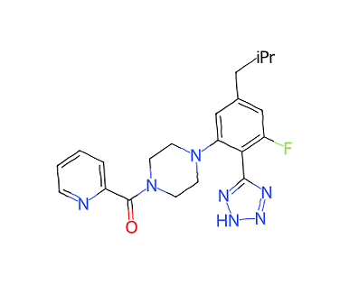 CC(C)Cc1cc(F)c(-c2nn[nH]n2)c(N2CCN(C(=O)c3ccccn3)CC2)c1